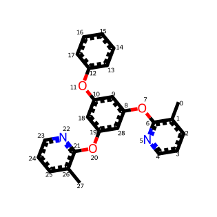 Cc1cccnc1Oc1cc(Oc2ccccc2)cc(Oc2ncccc2C)c1